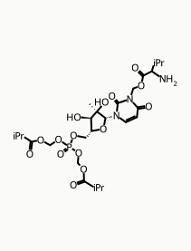 CC(C)C(=O)OCOP(=O)(OCOC(=O)C(C)C)OC[C@H]1O[C@@H](n2ccc(=O)n(COC(=O)C(N)C(C)C)c2=O)[C@](C)(O)[C@@H]1O